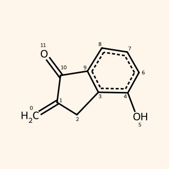 C=C1Cc2c(O)cccc2C1=O